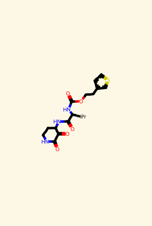 CC(C)C(NC(=O)OCCc1ccsc1)C(=O)NC1CCNC(=O)C1=O